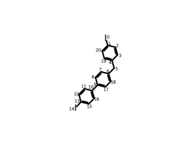 Ic1ccc(Cc2ccc(-c3ccc(I)cc3)cc2)cc1